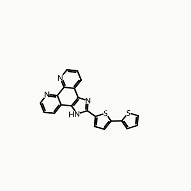 c1csc(-c2ccc(-c3nc4c5cccnc5c5ncccc5c4[nH]3)s2)c1